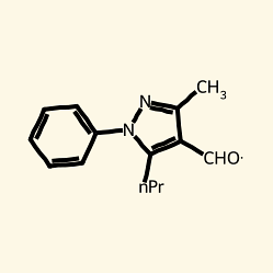 CCCc1c([C]=O)c(C)nn1-c1ccccc1